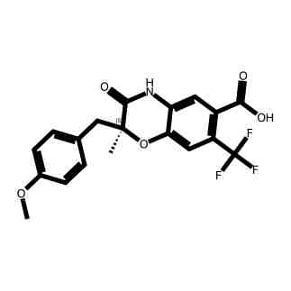 COc1ccc(C[C@]2(C)Oc3cc(C(F)(F)F)c(C(=O)O)cc3NC2=O)cc1